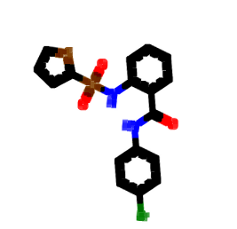 O=C(Nc1ccc(Br)cc1)c1ccccc1NS(=O)(=O)c1cccs1